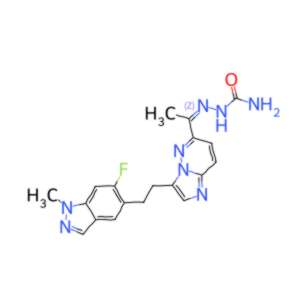 C/C(=N/NC(N)=O)c1ccc2ncc(CCc3cc4cnn(C)c4cc3F)n2n1